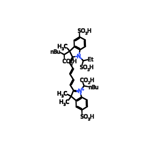 CCCCC(C(=O)O)[N+]1=C(/C=C/C=C/C=C2\N(C(CC)S(=O)(=O)O)c3ccc(S(=O)(=O)O)cc3C2(C)C(CCCC)C(=O)O)C(C)(C)c2cc(S(=O)(=O)O)ccc21